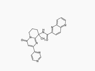 CC1(NC(=O)c2ccc3ncccc3n2)CCCn2c1nc(-c1ccncn1)cc2=O